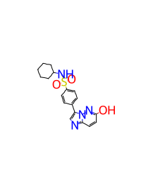 O=S(=O)(NC1CCCCC1)c1ccc(-c2cnc3ccc(O)nn23)cc1